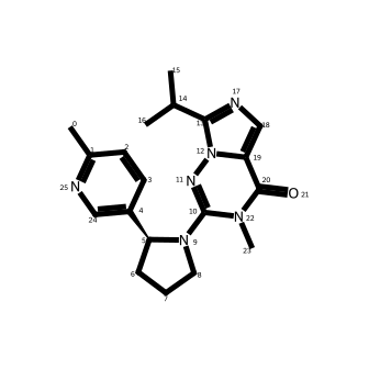 Cc1ccc([C@@H]2CCCN2c2nn3c(C(C)C)ncc3c(=O)n2C)cn1